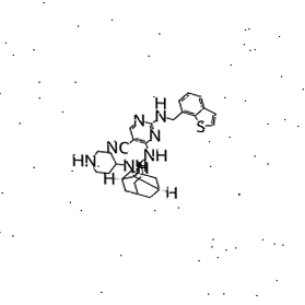 N#Cc1cnc(NCc2cccc3ccsc23)nc1NC[C@]12CC3C[C@H](C1)[C@@H](NC1CCNCC1)[C@@H](C3)C2